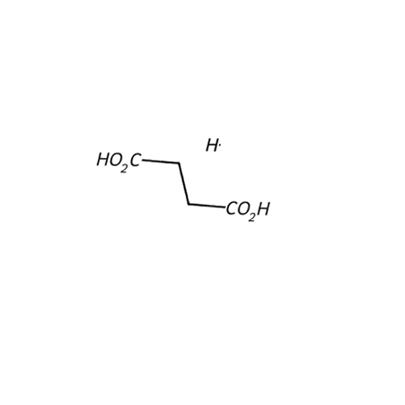 O=C(O)CCC(=O)O.[H]